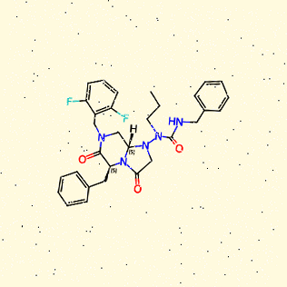 CCCN(C(=O)NCc1ccccc1)N1CC(=O)N2[C@@H](Cc3ccccc3)C(=O)N(Cc3c(F)cccc3F)C[C@@H]21